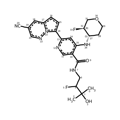 CC(C)(O)C(F)CNC(=O)c1cnc(-c2ccc3cc(C#N)cnn23)cc1N[C@H]1CCOC[C@@H]1F